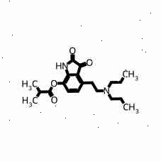 CCCN(CCC)CCc1ccc(OC(=O)C(C)C)c2c1C(=O)C(=O)N2